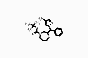 CC(C)(C)OC(=O)N1CCCOC(C(c2ccccc2)n2cc(N)cn2)C1